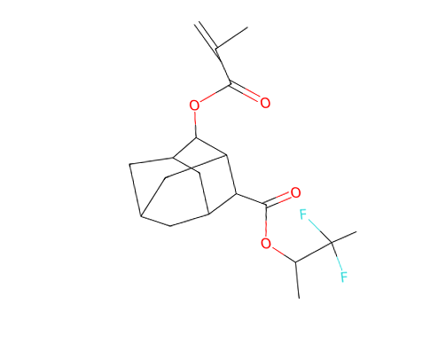 C=C(C)C(=O)OC1C2CC3CC(C2)C(C(=O)OC(C)C(C)(F)F)C1C3